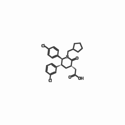 O=C(O)C[C@@H]1C[C@H](c2cccc(Cl)c2)[C@@H](c2ccc(Cl)cc2)N(CC2CCCC2)C1=O